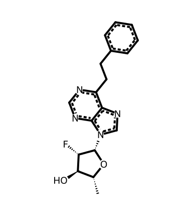 C[C@H]1O[C@@H](n2cnc3c(CCc4ccccc4)ncnc32)[C@@H](F)[C@@H]1O